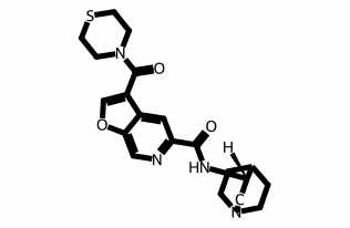 O=C(N[C@H]1CN2CCC1CC2)c1cc2c(C(=O)N3CCSCC3)coc2cn1